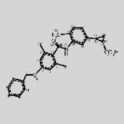 Cc1cc(OCc2ccccc2)cc(C)c1C(=O)Nc1cc([C@H]2C[C@H]2C(=O)O)ccc1C(F)(F)F